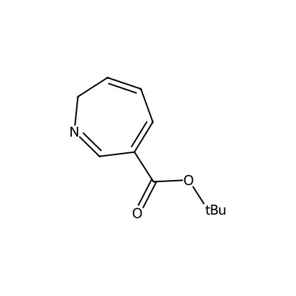 CC(C)(C)OC(=O)C1=CC=CCN=C1